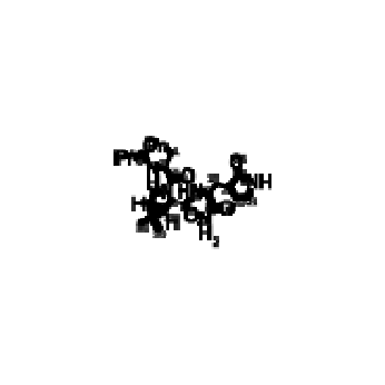 CC(C)C[C@H](NC(=O)C(C)C)C(=O)N1C[C@H]2[C@@H]([C@H]1C(=O)N[C@@H](C[C@@H]1CCNC1=O)C(N)=O)C2(C)C